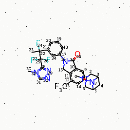 CN1CC2CC(C1)N2c1cc2c(c(C(F)(F)F)c1)CN(c1cccc(C(C)(F)C(F)(F)c3nncn3C)c1)C2=O